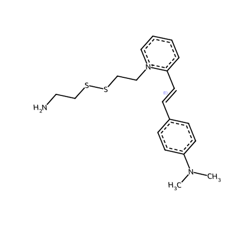 CN(C)c1ccc(/C=C/c2cccc[n+]2CCSSCCN)cc1